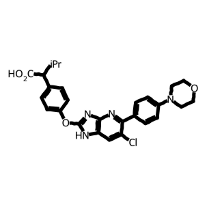 CC(C)C(C(=O)O)c1ccc(Oc2nc3nc(-c4ccc(N5CCOCC5)cc4)c(Cl)cc3[nH]2)cc1